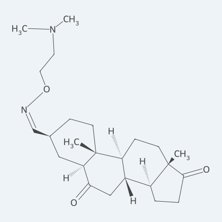 CN(C)CCO/N=C\[C@H]1CC[C@@]2(C)[C@H](C1)C(=O)C[C@@H]1[C@@H]2CC[C@]2(C)C(=O)CC[C@@H]12